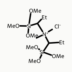 CCC([N+](C)(C)C(CC)[Si](OC)(OC)OC)[Si](OC)(OC)OC.[Cl-]